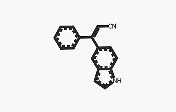 N#C/C=C(/c1ccccc1)c1ccc2[nH]ccc2c1